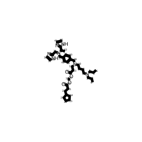 CCCN(CCC)CCCCN(CCC(=O)OCOC(=O)CCC1CCCC1)Cc1ccc(CN(Cc2ncc[nH]2)C(C)c2ncc[nH]2)cc1